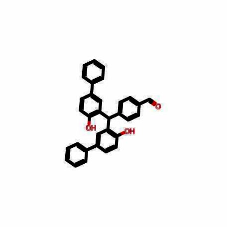 O=Cc1ccc(C(c2cc(-c3ccccc3)ccc2O)c2cc(-c3ccccc3)ccc2O)cc1